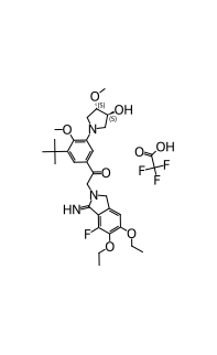 CCOc1cc2c(c(F)c1OCC)C(=N)N(CC(=O)c1cc(N3C[C@H](OC)[C@@H](O)C3)c(OC)c(C(C)(C)C)c1)C2.O=C(O)C(F)(F)F